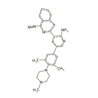 CNc1nc(-c2cc(-c3cc(C)c(N4CCN(C)CC4)c(C)c3)cnc2N)cc2ccccc12